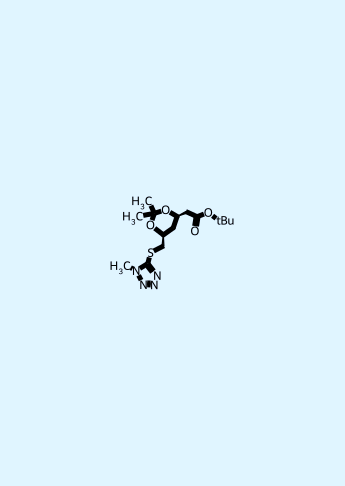 Cn1nnnc1SC[C@@H]1C[C@H](CC(=O)OC(C)(C)C)OC(C)(C)O1